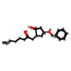 O=C(O)CCCCC(=O)CC1CC(OCc2ccccc2)CC1=O